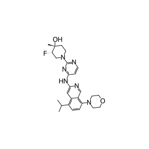 CC(C)c1ccc(N2CCOCC2)c2cnc(Nc3ccnc(N4CC[C@@](C)(O)[C@@H](F)C4)n3)cc12